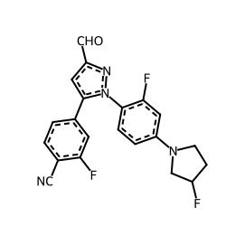 N#Cc1ccc(-c2cc(C=O)nn2-c2ccc(N3CCC(F)C3)cc2F)cc1F